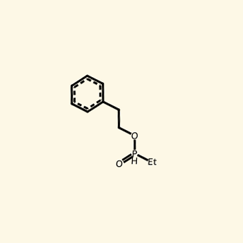 CC[PH](=O)OCCc1ccccc1